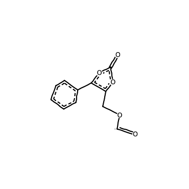 O=[C]OCc1oc(=O)oc1-c1ccccc1